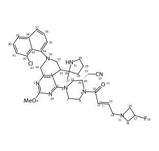 COc1nc2c(c(N3CCN(C(=O)/C=C/CN4CC(F)C4)[C@@H](CC#N)C3)n1)C(C1(C)CCCN1)CN(c1cccc3cccc(Cl)c13)C2